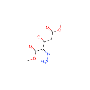 COC(=O)CC(=O)C(=NN)C(=O)OC